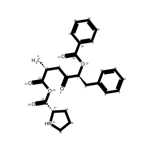 C[C@H](CC(=O)[C@H](Cc1ccccc1)OC(=O)c1ccccc1)C(=O)OC(=O)[C@@H]1CCCN1